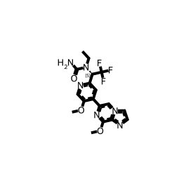 CCN(C(N)=O)[C@@H](c1cc(-c2cn3ccnc3c(OC)n2)c(OC)cn1)C(F)(F)F